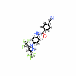 N#Cc1ccc(C(=O)Nc2ccc(-n3nc(C(F)(F)F)cc3C(F)(F)F)cc2)cc1